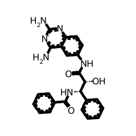 Nc1nc(N)c2cc(NC(=O)[C@H](O)[C@@H](NC(=O)c3ccccc3)c3ccccc3)ccc2n1